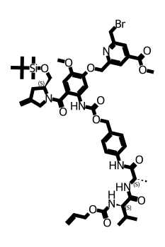 C=CCOC(=O)N[C@H](C(=O)N[C@@H](C)C(=O)Nc1ccc(COC(=O)Nc2cc(OCc3cc(C(=O)OC)cc(CBr)n3)c(OC)cc2C(=O)N2CC(=C)C[C@H]2CO[Si](C)(C)C(C)(C)C)cc1)C(C)C